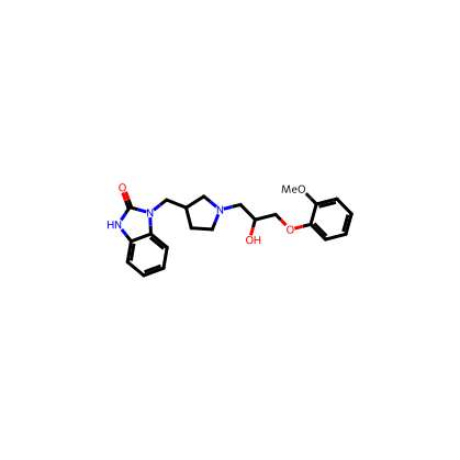 COc1ccccc1OCC(O)CN1CCC(Cn2c(=O)[nH]c3ccccc32)C1